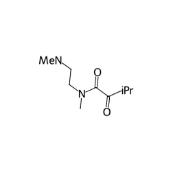 CNCCN(C)C(=O)C(=O)C(C)C